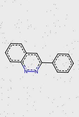 c1ccc(-c2cc3ccccc3nn2)cc1